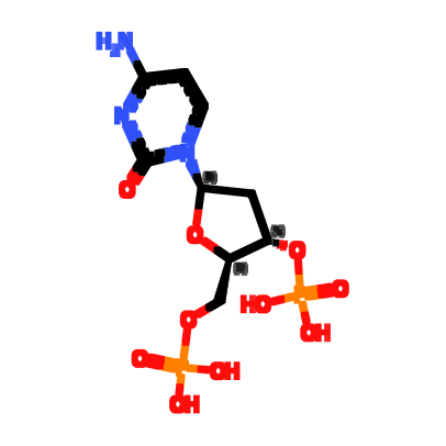 Nc1ccn([C@H]2C[C@H](OP(=O)(O)O)[C@@H](COP(=O)(O)O)O2)c(=O)n1